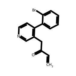 C=CC(=O)Cc1cnccc1-c1ccccc1Br